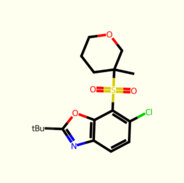 CC(C)(C)c1nc2ccc(Cl)c(S(=O)(=O)C3(C)CCCOC3)c2o1